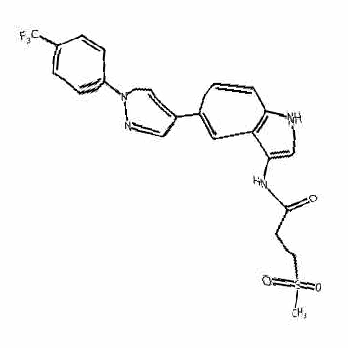 CS(=O)(=O)CCC(=O)Nc1c[nH]c2ccc(-c3cnn(-c4ccc(C(F)(F)F)cc4)c3)cc12